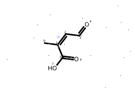 C/C(=C/[C]=O)C(=O)O